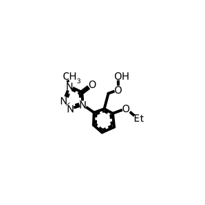 CCOc1cccc(-n2nnn(C)c2=O)c1COO